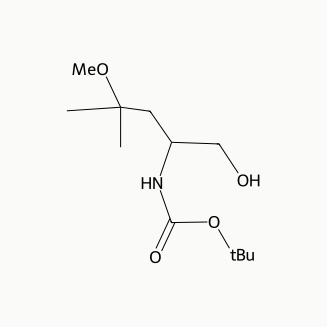 COC(C)(C)CC(CO)NC(=O)OC(C)(C)C